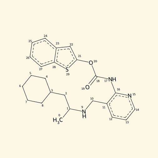 CC(CC1CCCCC1)NCc1cccnc1NC(=O)Oc1cc2ccccc2s1